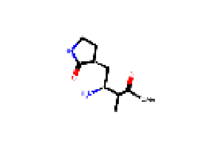 COC(=O)C(C)[C@@H](N)C[C@@H]1CCNC1=O